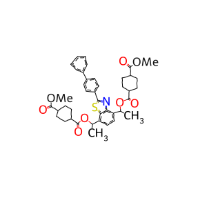 COC(=O)C1CCC(C(=O)OC(C)c2ccc(C(C)OC(=O)C3CCC(C(=O)OC)CC3)c3sc(-c4ccc(-c5ccccc5)cc4)nc23)CC1